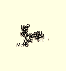 CNC(=O)C1CCN(CCNc2cccc3c2C(=O)N(C2CCC(=O)NC2=O)C3=O)C(CC2(COc3cc4c(N[C@H](C)c5cc(N)cc(C(F)(F)F)c5)nc(C)nc4cc3OC)CC2)C1